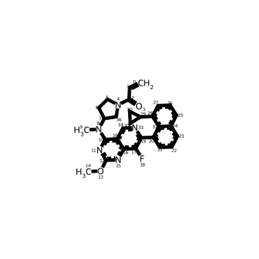 C=CC(=O)N1CCC(N(C)c2nc(OC)nc3c(F)c(-c4cccc5cccc(C6CC6)c45)ncc23)C1